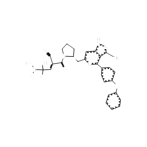 CN(C)C(C)(C)C=C(C#N)C(=O)N1CCC[C@H]1Cc1cc2[nH]nc(N)c2c(-c2ccc(Oc3ccccc3)cc2)n1